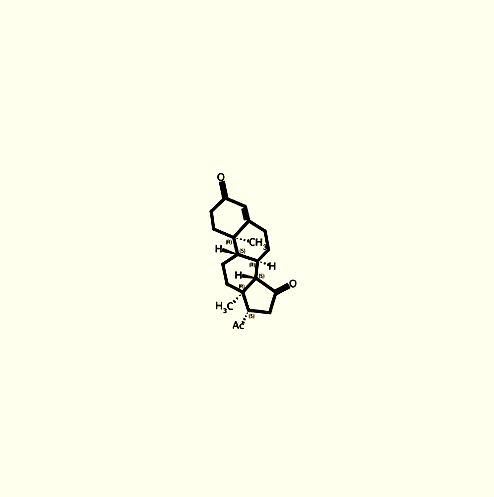 CC(=O)[C@H]1CC(=O)[C@H]2[C@@H]3CCC4=CC(=O)CC[C@]4(C)[C@H]3CC[C@]12C